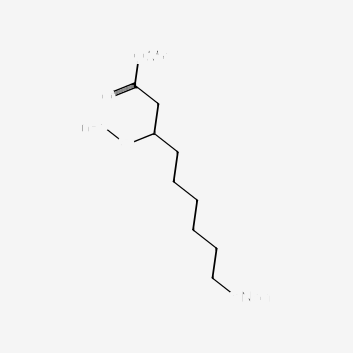 CCCCCCCCCCCCCCCC(CC(=O)OC)OCCC